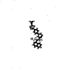 CC(NC1CCCC(c2ccc(-c3noc(C4CC4)n3)cc2)C1)c1cccc2ccccc12